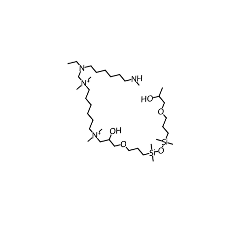 CCN(CCCCCCNC)C[N+](C)(C)CCCCCC[N+](C)(C)CC(O)COCCC[Si](C)(C)O[Si](C)(C)CCCOCC(C)O